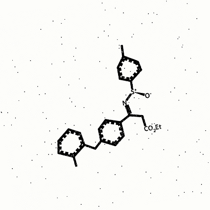 CCOC(=O)C/C(=N\[S@+]([O-])c1ccc(C)cc1)c1ccc(Cc2ccccc2C)cc1